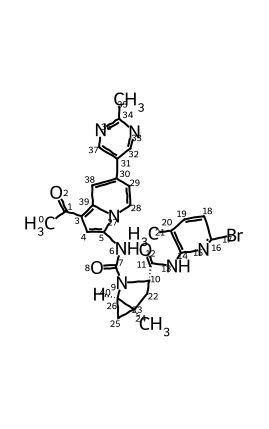 CC(=O)c1cc(NC(=O)N2[C@H](C(=O)Nc3nc(Br)ccc3C)C[C@@]3(C)C[C@@H]23)n2ccc(-c3cnc(C)nc3)cc12